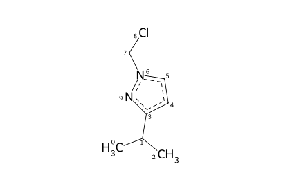 CC(C)c1ccn(CCl)n1